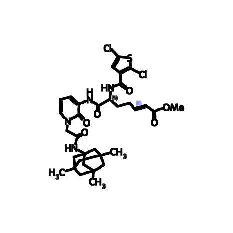 COC(=O)/C=C/CC[C@H](NC(=O)c1cc(Cl)sc1Cl)C(=O)Nc1cccn(CC(=O)NC23CC4(C)CC(C)(CC(C)(C4)C2)C3)c1=O